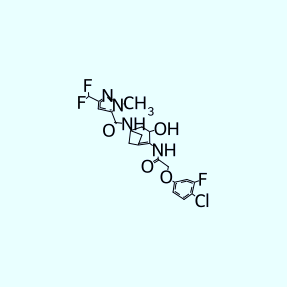 Cn1nc(C(F)F)cc1C(=O)NC12CC(=C(NC(=O)COc3ccc(Cl)c(F)c3)C(O)C1)C2